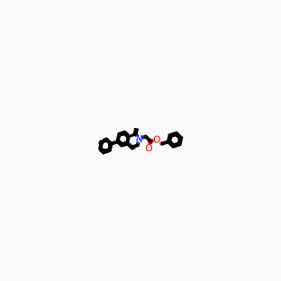 C=C1c2ccc(-c3ccccc3)cc2CCN1CC(=O)OCc1ccccc1